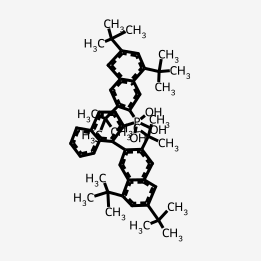 CC(C)(C)c1cc(C(C)(C)C)c2cc(-c3c(P(O)(O)(O)c4cc5c(C(C)(C)C)cc(C(C)(C)C)cc5cc4C(C)(C)C)ccc4ccccc34)c(C(C)(C)C)cc2c1